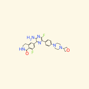 Nc1nc(F)c(-c2ccc(N3CCN(C4COC4)CC3)cc2)nc1-c1cc(F)c2c(c1)CCNC2=O